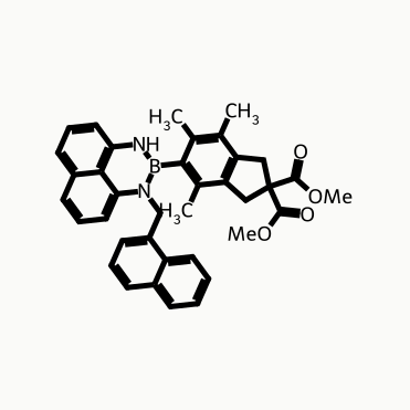 COC(=O)C1(C(=O)OC)Cc2c(C)c(C)c(B3Nc4cccc5cccc(c45)N3Cc3cccc4ccccc34)c(C)c2C1